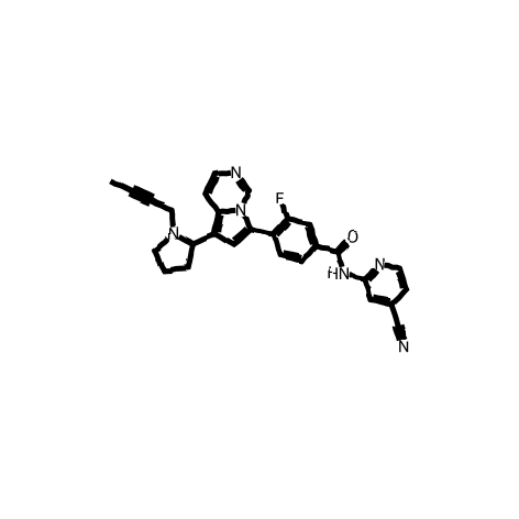 CC#CCN1CCCC1c1cc(-c2ccc(C(=O)Nc3cc(C#N)ccn3)cc2F)n2cnccc12